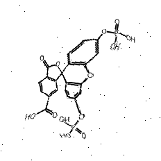 O=C(O)c1ccc2c(c1)C1(OC2=O)c2ccc(OP(=O)(O)O)cc2Oc2cc(OP(=O)(O)O)ccc21